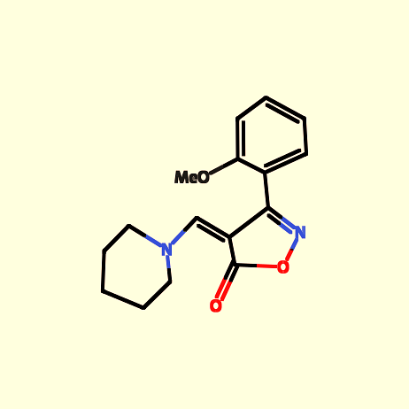 COc1ccccc1C1=NOC(=O)C1=CN1CCCCC1